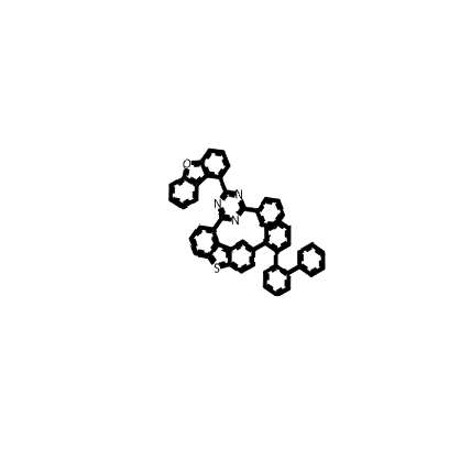 c1ccc(-c2nc(-c3cccc4oc5ccccc5c34)nc(-c3cccc4sc5ccc(-c6ccccc6-c6ccccc6-c6ccccc6)cc5c34)n2)cc1